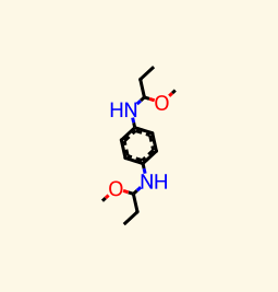 CCC(Nc1ccc(NC(CC)OC)cc1)OC